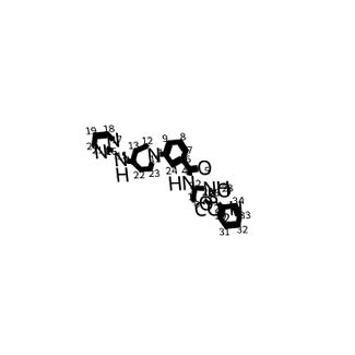 O=C(O)CC(NC(=O)c1cccc(N2CCC(Nc3ncccn3)CC2)c1)NS(=O)(=O)c1ccccc1